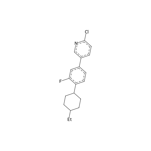 CCC1CCC(c2ccc(-c3ccc(Cl)nc3)cc2F)CC1